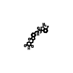 Cc1c(F)cccc1C(F)(F)C(=O)NCc1ccc2c(c1)CC(CC1CCC(=O)NC1=O)C2=O